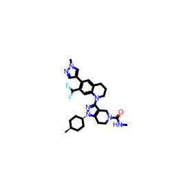 CNC(=O)N1CCc2c(c(N3CCCc4cc(-c5cnn(C)c5)c(C(F)F)cc43)nn2[C@H]2CC[C@H](C)CC2)C1